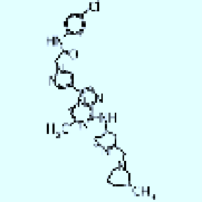 Cc1cn2c(-c3cnn(CC(=O)Nc4ccc(Cl)cc4)c3)cnc2c(NC2CC(CN3CCCC(C)C3)=NS2)n1